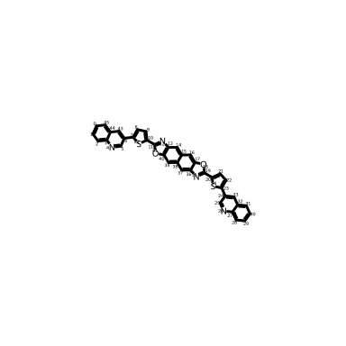 c1ccc2ncc(-c3ccc(-c4nc5cc6cc7oc(-c8ccc(-c9cnc%10ccccc%10c9)s8)nc7cc6cc5o4)s3)cc2c1